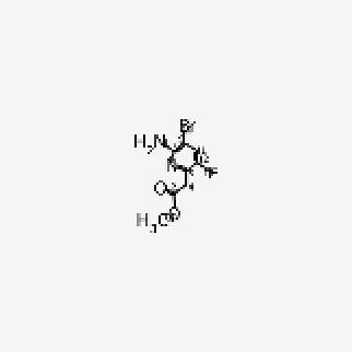 COC(=O)Cc1nc(N)c(Br)cc1F